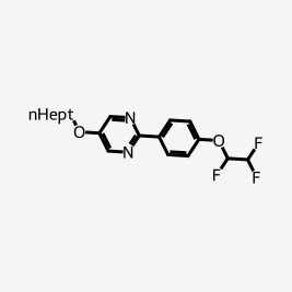 CCCCCCCOc1cnc(-c2ccc(OC(F)C(F)F)cc2)nc1